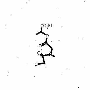 CCOC(=O)[C@H](C)OC(=O)CN(C)C(=O)CCl